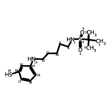 CC(C)(C)S(=O)(=O)NCCCCCNc1cccc(S)c1